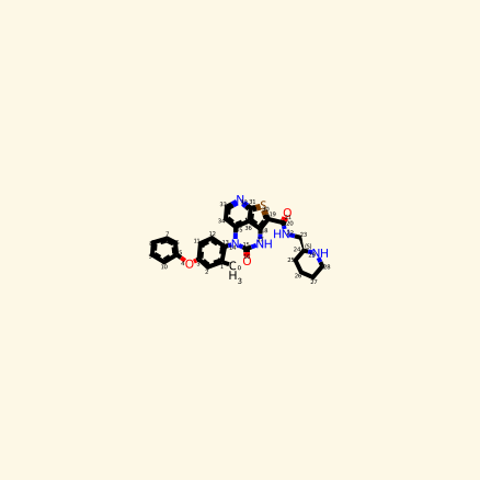 Cc1cc(Oc2ccccc2)ccc1N1C(=O)Nc2c(C(=O)NC[C@@H]3CCCCN3)sc3nccc1c23